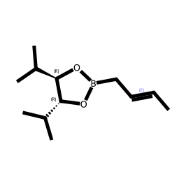 C/C=C/CB1O[C@H](C(C)C)[C@@H](C(C)C)O1